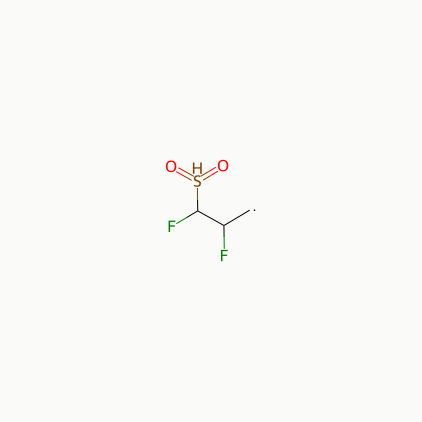 [CH2]C(F)C(F)[SH](=O)=O